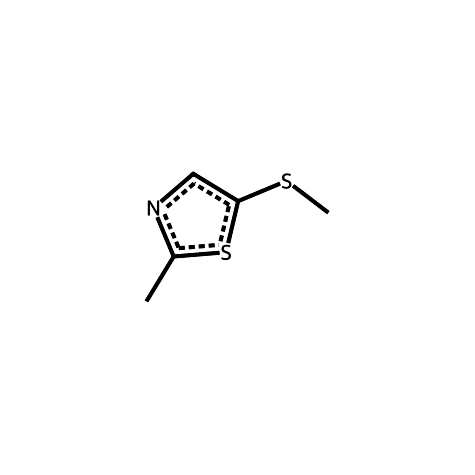 CSc1cnc(C)s1